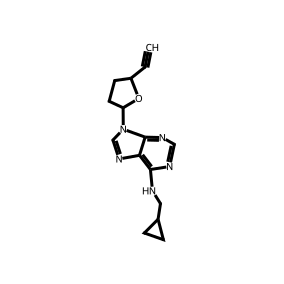 C#CC1CCC(n2cnc3c(NCC4CC4)ncnc32)O1